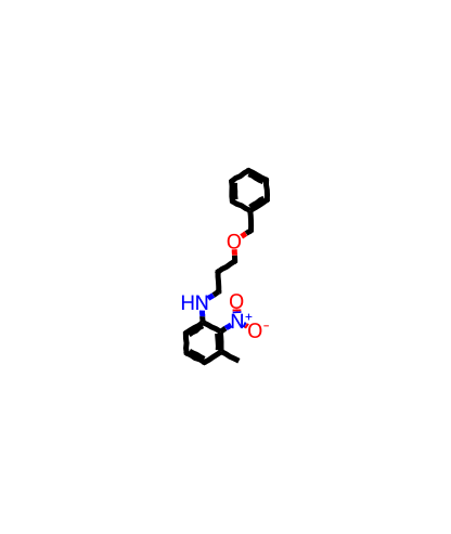 Cc1cccc(NCCCOCc2ccccc2)c1[N+](=O)[O-]